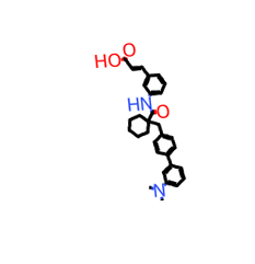 CN(C)c1cccc(-c2ccc(CC3(C(=O)Nc4cccc(/C=C/C(=O)O)c4)CCCCC3)cc2)c1